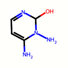 NC1=CC=NC(O)N1N